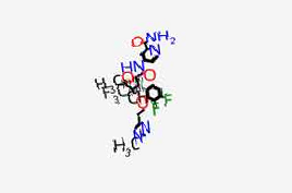 C[C@H]1[C@@H](c2ccc(F)c(F)c2OCCc2cn(C)cn2)[C@H](C(=O)Nc2ccnc(C(N)=O)c2)O[C@@]1(C)C(F)(F)F